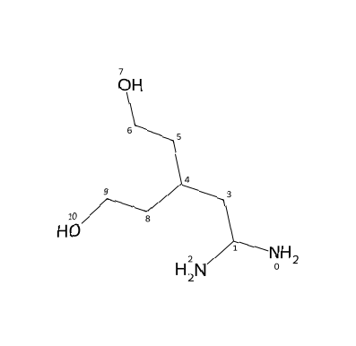 NC(N)CC(CCO)CCO